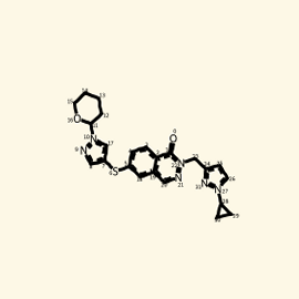 O=c1c2ccc(Sc3cnn(C4CCCCO4)c3)cc2cnn1Cc1ccn(C2CC2)n1